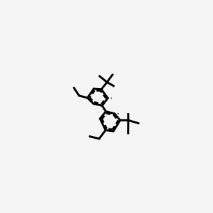 CCc1cc(-c2[c]c(C(C)(C)C)cc(CC)c2)[c]c(C(C)(C)C)c1